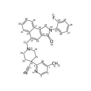 Cc1ccnc(C2(C#N)CCN(Cc3cc4c(c5ccccc35)CN(c3ccccc3F)C4=O)CC2)c1